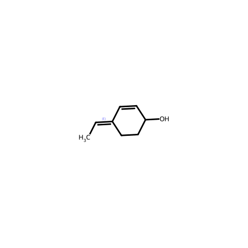 C/C=C1/C=CC(O)CC1